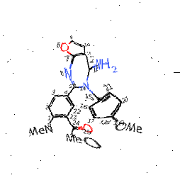 CNc1ccc(C2=Nc3occc3C(N)N2c2ccc(OC)cc2)cc1C(=O)OC